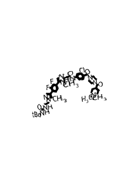 Cc1c(-c2ccc(-c3cnc(C(=O)Nc4ccc(C(=O)N5CCN(C(=O)C6CC[N+](C)(C)CC6)CC5)c(Cl)c4)n3C)c(F)c2F)cnn1CCNC(=O)NC(C)(C)C